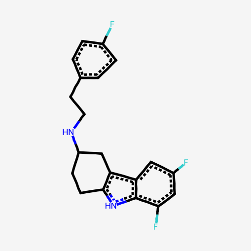 Fc1ccc(CCNC2CCc3[nH]c4c(F)cc(F)cc4c3C2)cc1